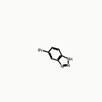 CC(C)c1ccc2[nH]nnc2c1